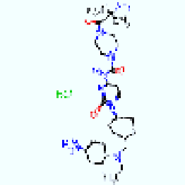 CCN(C[C@H]1CC[C@H](n2ccc(NC(=O)N3CCN(C(=O)C(C)(C)N)CC3)nc2=O)CC1)[C@H]1CC[C@H](N)CC1.Cl